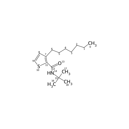 CCCCCCCc1ccsc1C(=O)NC(C)(C)C